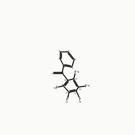 C=C(c1ccccc1)c1c(F)c(F)c(F)c(F)c1F